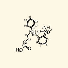 NS(=O)(=O)c1ccccc1Br.O=C(O)OCCNc1ccccc1